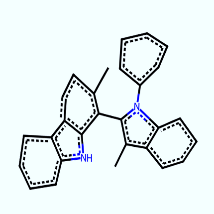 Cc1ccc2c([nH]c3ccccc32)c1-c1c(C)c2ccccc2n1-c1ccccc1